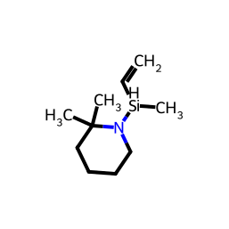 C=C[SiH](C)N1CCCCC1(C)C